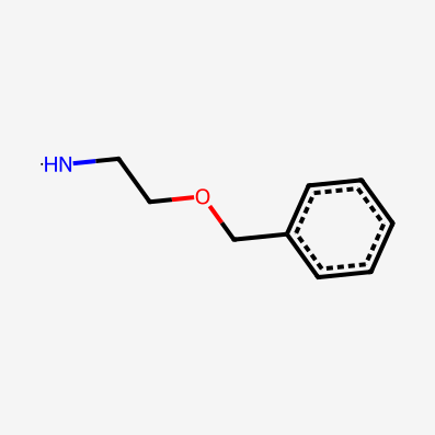 [NH]CCOCc1ccccc1